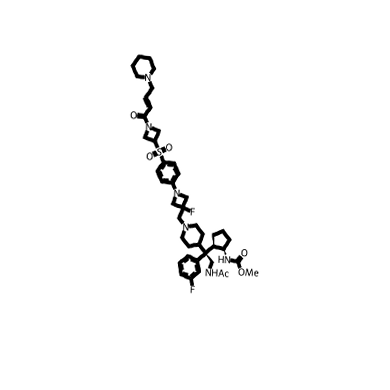 COC(=O)N[C@H]1CCC[C@@H]1[C@](CNC(C)=O)(c1cccc(F)c1)C1CCN(CC2(F)CN(c3ccc(S(=O)(=O)C4CN(C(=O)/C=C/CN5CCCCC5)C4)cc3)C2)CC1